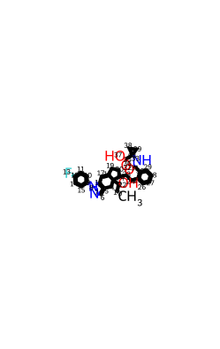 CCCC12Cc3cnn(-c4ccc(F)cc4)c3C=C1CC[C@@]2(O)CCc1ccccc1C(=O)NC1(C(=O)O)CC1